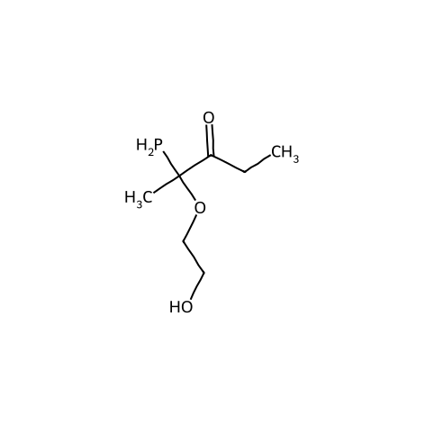 CCC(=O)C(C)(P)OCCO